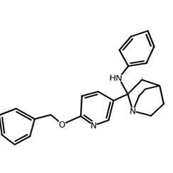 [CH]1C2CCN(CC2)C1(Nc1ccccc1)c1ccc(OCc2ccccc2)nc1